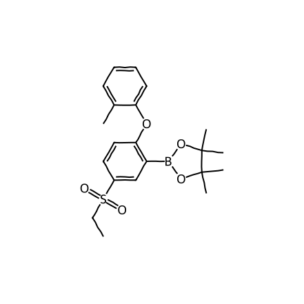 CCS(=O)(=O)c1ccc(Oc2ccccc2C)c(B2OC(C)(C)C(C)(C)O2)c1